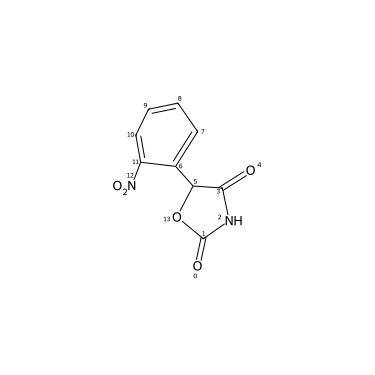 O=C1NC(=O)C(c2ccccc2[N+](=O)[O-])O1